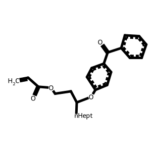 C=CC(=O)OCCC(CCCCCCC)Oc1ccc(C(=O)c2ccccc2)cc1